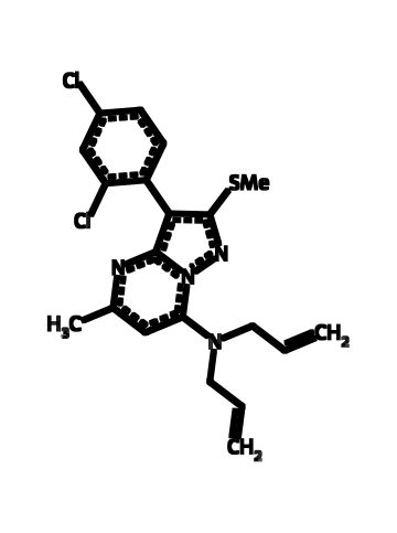 C=CCN(CC=C)c1cc(C)nc2c(-c3ccc(Cl)cc3Cl)c(SC)nn12